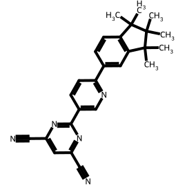 CC1(C)c2ccc(-c3ccc(-c4nc(C#N)cc(C#N)n4)cn3)cc2C(C)(C)C1(C)C